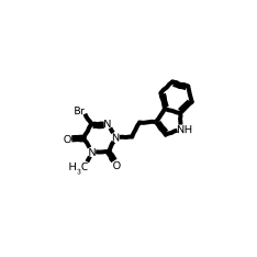 Cn1c(=O)c(Br)nn(CCc2c[nH]c3ccccc23)c1=O